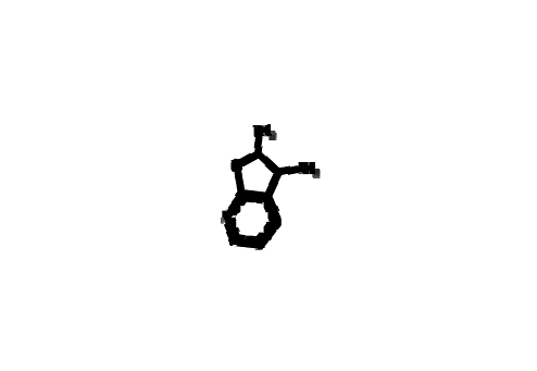 BC1Oc2ncccc2C1N